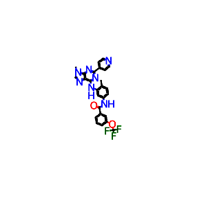 Cc1ccc(NC(=O)c2cccc(OC(F)(F)F)c2)cc1Nc1nc(-c2ccncc2)nc2c1ncn2C